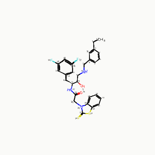 CCc1cccc(CNC[C@@H](O)[C@H](Cc2cc(F)cc(F)c2)NC(=O)Cn2c(=S)sc3ccccc32)c1